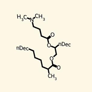 CCCCCCCCCCCCCCC(C)C(=O)OCC(CCCCCCCCCC)OC(=O)CCCN(C)C